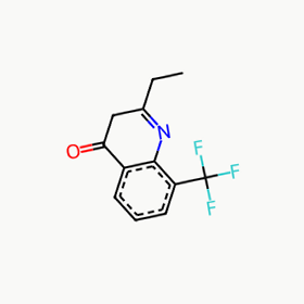 CCC1=Nc2c(cccc2C(F)(F)F)C(=O)C1